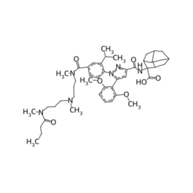 CCCC(=O)N(C)CCCN(C)CCCN(C)C(=O)c1ccc(-n2nc(C(=O)NC3(C(=O)O)C4CC5CC(C4)CC3C5)cc2-c2c(OC)cccc2OC)c(C(C)C)c1